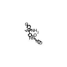 CCn1c(-c2cccc(C(=O)NCCN3CCOCC3)c2)c(N)c2ccc(OC)cc21